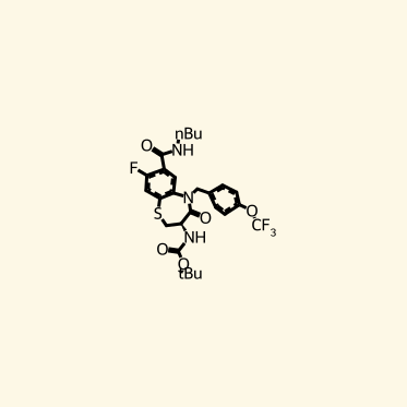 CCCCNC(=O)c1cc2c(cc1F)SC[C@H](NC(=O)OC(C)(C)C)C(=O)N2Cc1ccc(OC(F)(F)F)cc1